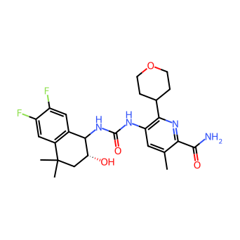 Cc1cc(NC(=O)NC2c3cc(F)c(F)cc3C(C)(C)C[C@H]2O)c(C2CCOCC2)nc1C(N)=O